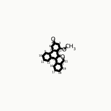 COc1cc(=O)cc2c3ccccc3c3c4ccccc4coc3c12